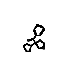 O=C(c1ccccc1)C1(N2CCCC2)COCO1